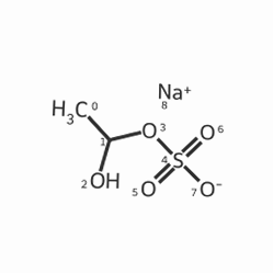 CC(O)OS(=O)(=O)[O-].[Na+]